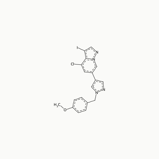 COc1ccc(Cn2cc(-c3cc(Cl)c4c(I)cnn4c3)cn2)cc1